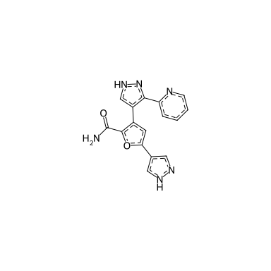 NC(=O)c1oc(-c2cn[nH]c2)cc1-c1c[nH]nc1-c1ccccn1